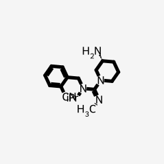 C/N=C(/N1CCC[C@@H](N)C1)N(Cc1ccccc1C#N)C(C)C